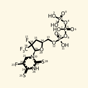 O=P(O)(O)OP(=O)(O)OP(=O)(O)OC[C@@H]1CC(F)(C(F)(F)F)[C@H](n2cc(F)c(=S)[nH]c2=S)O1